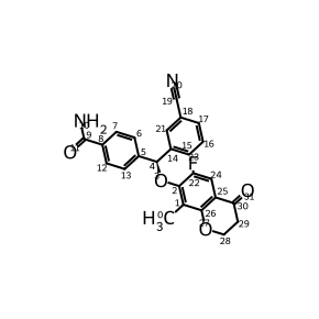 Cc1c(O[C@@H](c2ccc(C(N)=O)cc2)c2cccc(C#N)c2)c(F)cc2c1OCCC2=O